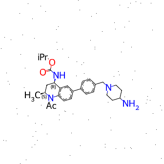 CC(=O)N1c2ccc(-c3ccc(CN4CCC(N)CC4)cc3)cc2[C@H](NC(=O)OC(C)C)C[C@@H]1C